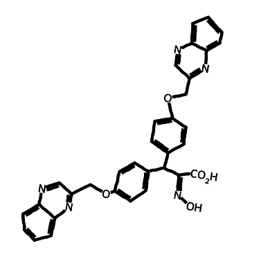 O=C(O)C(=NO)C(c1ccc(OCc2cnc3ccccc3n2)cc1)c1ccc(OCc2cnc3ccccc3n2)cc1